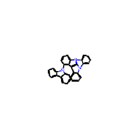 c1ccc2c(c1)c1ccccc1n2-c1cccc2c1c1c3ccccc3n3c4ccccc4n2c13